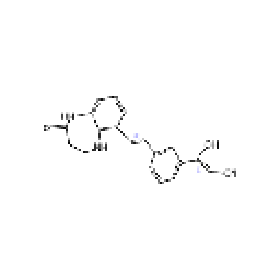 N#C/C=C(\O)c1cccc(/C=C/c2cccc3c2NCCC(=O)N3)c1